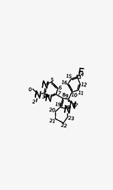 CN(C)c1nccc(-c2c(-c3ccc(F)cc3)nn3c2CCCC3)n1